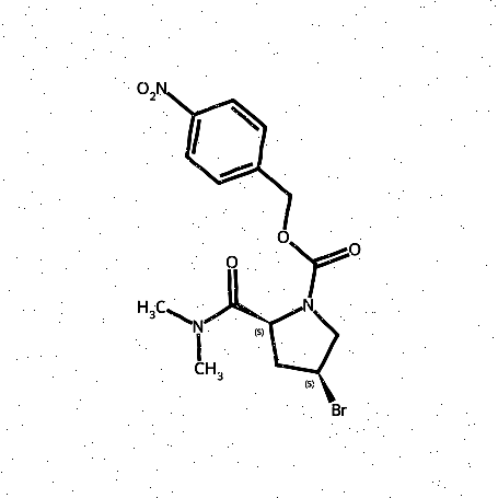 CN(C)C(=O)[C@@H]1C[C@H](Br)CN1C(=O)OCc1ccc([N+](=O)[O-])cc1